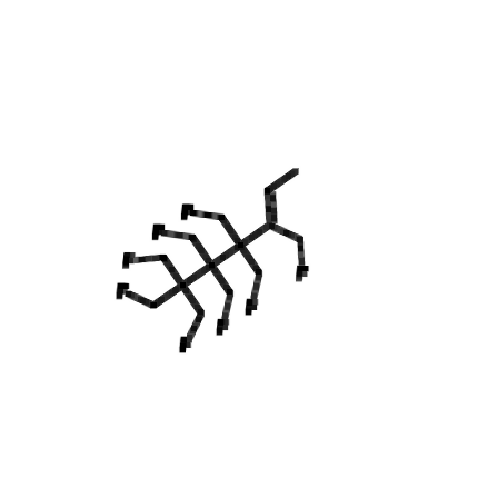 CC=C(CF)C(CF)(CF)C(CF)(CF)C(CF)(CF)CF